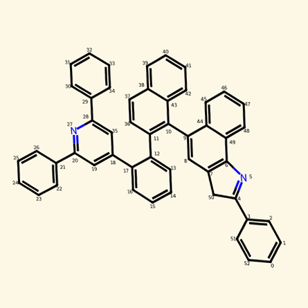 c1ccc(C2=Nc3c(cc(-c4c(-c5ccccc5-c5cc(-c6ccccc6)nc(-c6ccccc6)c5)ccc5ccccc45)c4ccccc34)C2)cc1